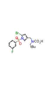 CC(C)(C)CN(Cc1cc(Br)n(S(=O)(=O)c2cccc(F)c2)c1)C(=O)O